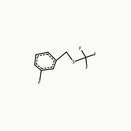 Fc1cccc(CSC(F)(F)F)c1